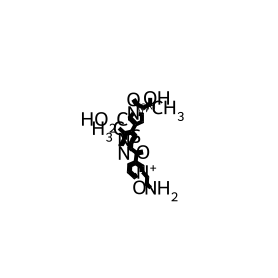 Cc1c(C2=C(C(=O)O)N3C(=O)[C@H]([C@@H](C)O)C3C2)sc2c(C(=O)c3ccc[n+](CC(N)=O)c3)ncn12